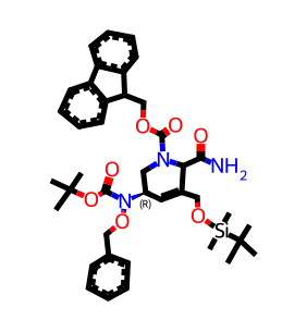 CC(C)(C)OC(=O)N(OCc1ccccc1)[C@@H]1C=C(CO[Si](C)(C)C(C)(C)C)C(C(N)=O)N(C(=O)OCC2c3ccccc3-c3ccccc32)C1